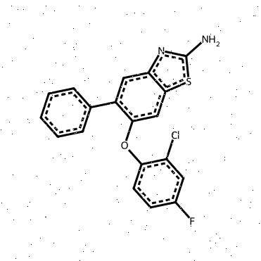 Nc1nc2cc(-c3ccccc3)c(Oc3ccc(F)cc3Cl)cc2s1